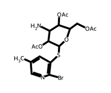 CC(=O)OCC1OC(Sc2cc(C)cnc2Br)C(OC(C)=O)C(N)C1OC(C)=O